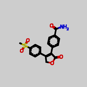 CS(=O)(=O)c1ccc(C2=C(c3ccc(C(N)=O)cc3)C(=O)OC2)cc1